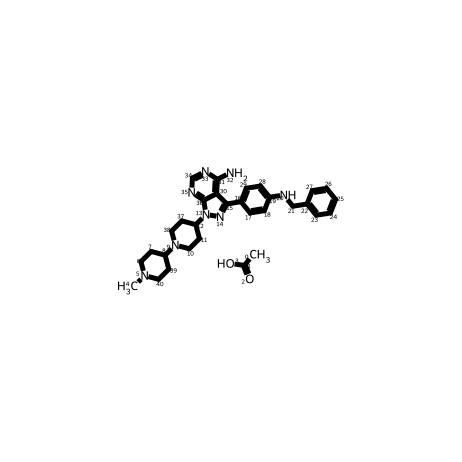 CC(=O)O.CN1CCC(N2CCC(n3nc(-c4ccc(NCc5ccccc5)cc4)c4c(N)ncnc43)CC2)CC1